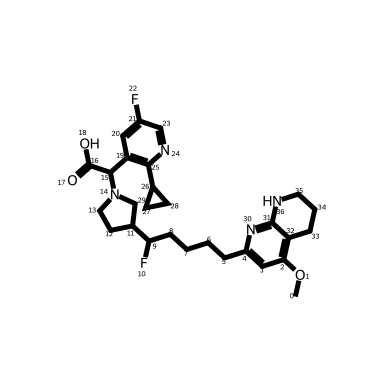 COc1cc(CCCCC(F)C2CCN(C(C(=O)O)c3cc(F)cnc3C3CC3)C2)nc2c1CCCN2